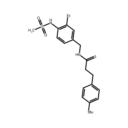 CCc1cc(CNC(=S)CCc2ccc(C(C)(C)C)cc2)ccc1NS(C)(=O)=O